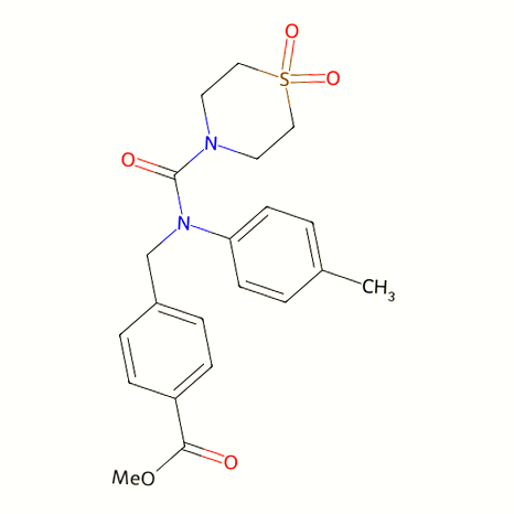 COC(=O)c1ccc(CN(C(=O)N2CCS(=O)(=O)CC2)c2ccc(C)cc2)cc1